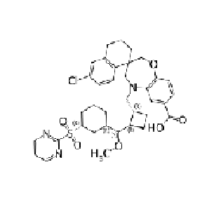 CO[C@@H]([C@@H]1CCC[C@@H](S(=O)(=O)c2ncccn2)C1)[C@@H]1CC[C@H]1CN1CC2(CCCc3cc(Cl)ccc32)COc2ccc(C(=O)O)cc21